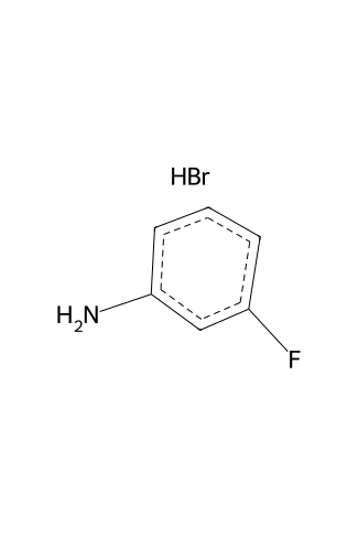 Br.Nc1cccc(F)c1